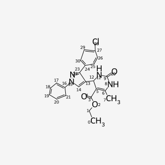 CCOC(=O)C1=C(C)NC(=O)NC1c1cn(-c2ccccc2)nc1-c1ccc(Cl)cc1